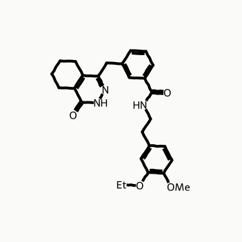 CCOc1cc(CCNC(=O)c2cccc(Cc3n[nH]c(=O)c4c3CCCC4)c2)ccc1OC